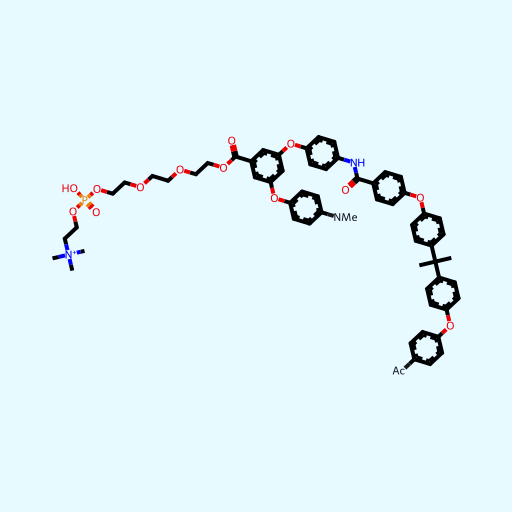 CNc1ccc(Oc2cc(Oc3ccc(NC(=O)c4ccc(Oc5ccc(C(C)(C)c6ccc(Oc7ccc(C(C)=O)cc7)cc6)cc5)cc4)cc3)cc(C(=O)OCCOCCOCCOP(=O)(O)OCC[N+](C)(C)C)c2)cc1